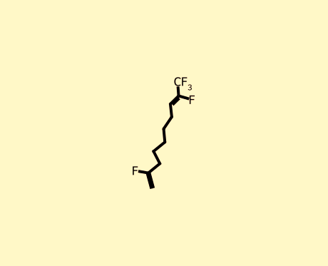 C=C(F)CCCCCC=C(F)C(F)(F)F